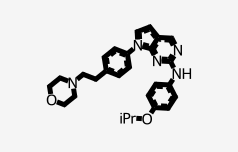 CC(C)Oc1ccc(Nc2ncc3ccn(-c4ccc(CCN5CCOCC5)cc4)c3n2)cc1